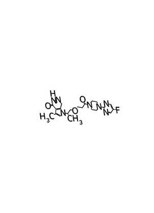 Cc1cn(C(C)COCCC(=O)N2CCN(c3ncc(F)cn3)CC2)c2cn[nH]c(=O)c12